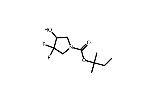 CCC(C)(C)OC(=O)N1CC(O)C(F)(F)C1